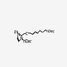 CCCCCCCCCCCCCCCCCCCC1N(CC)C=CN1CCCCCCCCCC